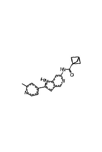 Cc1cc(-c2cc3cnc(NC(=O)C45CC(C4)C5)cc3[nH]2)ccn1